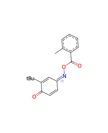 Cc1ccccc1C(=O)O/N=C1/C=CC(=O)C(C(C)(C)C)=C1